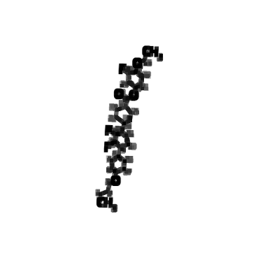 CCCCOc1ccc(-c2ccc(C3CCC(C(=O)Oc4ccc(OCC)c(F)c4)CC3)c(F)c2F)cc1